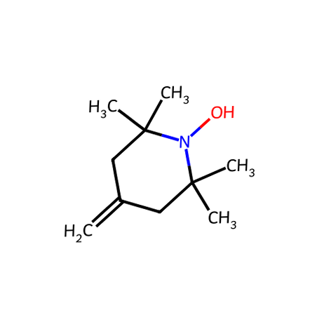 C=C1CC(C)(C)N(O)C(C)(C)C1